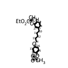 CCOC(=O)C(C)(C)Oc1cccc(CCCCCOc2ccc(OS(C)(=O)=O)cc2)c1